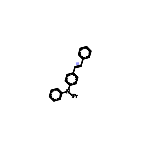 CC(C)N(c1ccccc1)c1ccc(/C=C/c2ccccc2)cc1